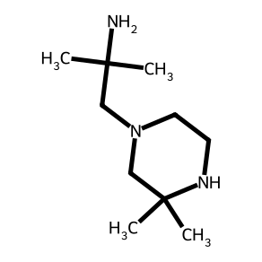 CC(C)(N)CN1CCNC(C)(C)C1